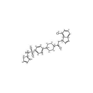 O=C(Cn1ccc2cccc(Cl)c21)N1CCN(c2ccc(S(=O)(=O)Nc3nccs3)cn2)CC1